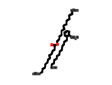 CCCCCCCCCCCCCCCCCCCCCCOC(=O)CCCCCCCCCCCCCCCCCCCCC.CCCCCCCCCCCCCCCCCCCCCCc1ccccc1C(=O)O